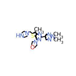 Cc1c(CN2CCNCC2)sc2c(N3CCOCC3)nc(-c3cnc(N(C)C)nc3)nc12